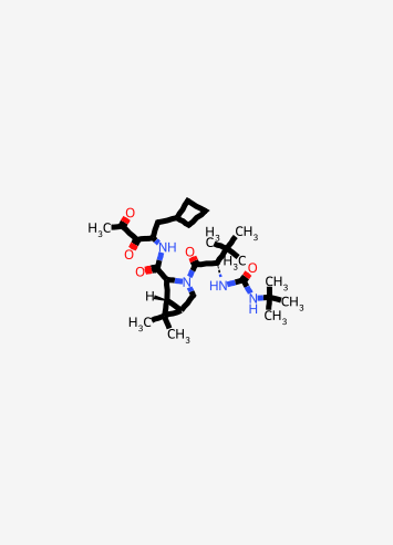 CC(=O)C(=O)C(CC1CCC1)NC(=O)C1[C@@H]2C(CN1C(=O)[C@@H](NC(=O)NC(C)(C)C)C(C)(C)C)C2(C)C